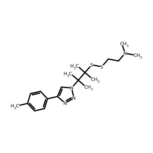 Cc1ccc(-c2cn(C(C)(C)C(C)(C)SSCCN(C)C)nn2)cc1